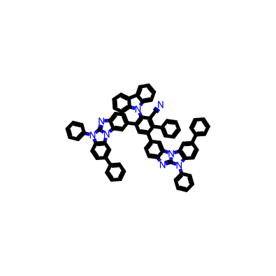 N#Cc1c(-c2ccccc2)c(-c2ccc3nc4n(-c5ccccc5)c5ccc(-c6ccccc6)cc5n4c3c2)cc(-c2ccc3nc4n(-c5ccccc5)c5ccc(-c6ccccc6)cc5n4c3c2)c1-n1c2ccccc2c2ccccc21